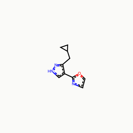 [c]1coc(-c2c[nH]nc2CC2CC2)n1